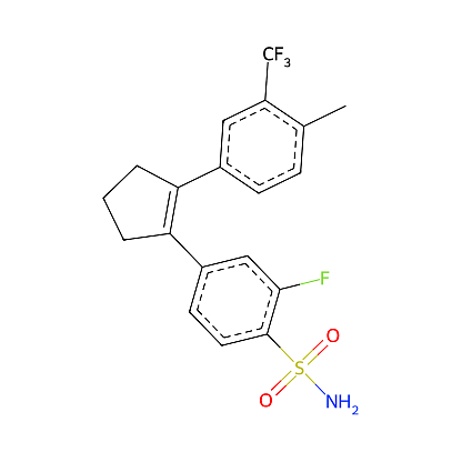 Cc1ccc(C2=C(c3ccc(S(N)(=O)=O)c(F)c3)CCC2)cc1C(F)(F)F